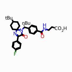 CCCC[C@H](c1ccc(C(=O)NCCC(=O)O)cc1)N1C(=O)C(c2ccc(F)cc2)=NC12CCC(C(C)(C)C)CC2